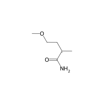 COCC[C](C)C(N)=O